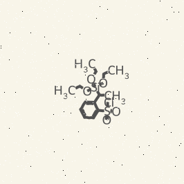 CCO[Si](OCC)(OCC)C(C)c1ccccc1S(=O)(=O)Cl